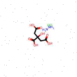 Cl.N.N.O=C(O)CC(O)(CC(=O)O)C(=O)O